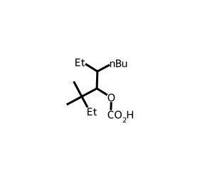 CCCCC(CC)C(OC(=O)O)C(C)(C)CC